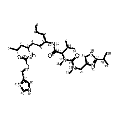 CCCC(CCC(CCC)NC(=O)C(C(C)C)N(C)C(=O)N(C)CC1CSC(C(C)C)=N1)NC(=O)OCc1cncs1